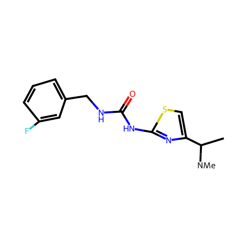 CNC(C)c1csc(NC(=O)NCc2cccc(F)c2)n1